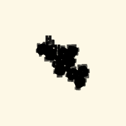 CC1(C)c2ccccc2-c2ccc(-c3c4ccccc4cc4c3oc3cccc(C(c5ccc(-c6ccccc6)cc5)c5ccc6c7ccccc7c7ccccc7c6c5)c34)cc21